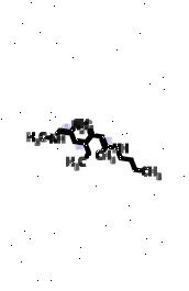 C=C(/C=C(\C)NCCCC)/C(=C\C(C)=C/NC)CC